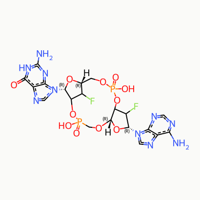 Nc1nc2c(ncn2[C@@H]2O[C@@H]3COP(=O)(O)OC4C(F)[C@H](n5cnc6c(N)ncnc65)O[C@@H]4OCP(=O)(O)OC2C3F)c(=O)[nH]1